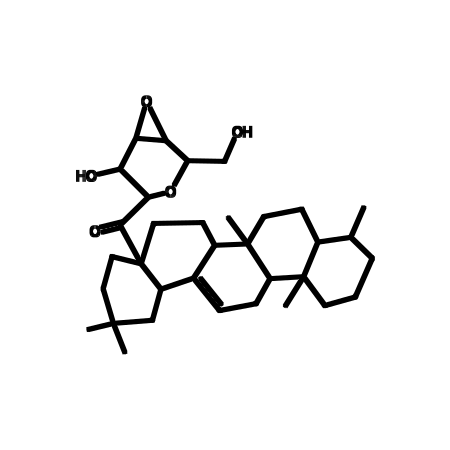 CC1CCCC2(C)C1CCC1(C)C3CCC4(C(=O)C5OC(CO)C6OC6C5O)CCC(C)(C)CC4C3=CCC12